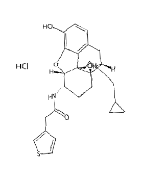 Cl.O=C(Cc1ccsc1)N[C@H]1CC[C@@]2(O)[C@H]3Cc4ccc(O)c5c4[C@@]2(CCN3CC2CC2)[C@H]1O5